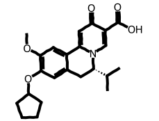 COc1cc2c(cc1OC1CCCC1)C[C@@H](C(C)C)n1cc(C(=O)O)c(=O)cc1-2